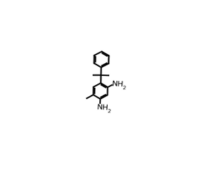 Cc1cc(C(C)(C)c2ccccc2)c(N)cc1N